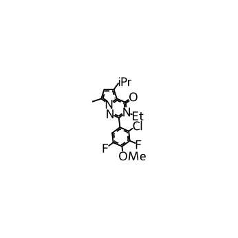 CCn1c(-c2cc(F)c(OC)c(F)c2Cl)nn2c(C)cc(C(C)C)c2c1=O